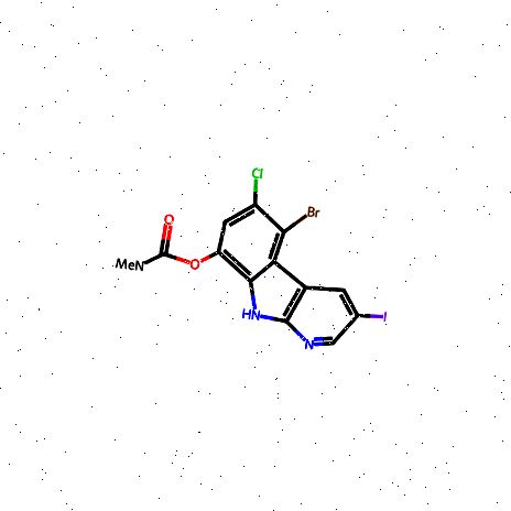 CNC(=O)Oc1cc(Cl)c(Br)c2c1[nH]c1ncc(I)cc12